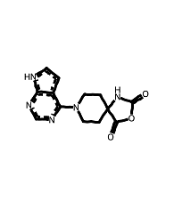 O=C1NC2(CCN(c3ncnc4[nH]ccc34)CC2)C(=O)O1